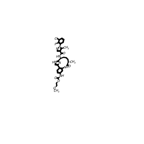 COCCOC(=O)Nc1ccc2c(c1)NC(=O)[C@@H](C)CCC[C@H](NC(=O)c1cnn(-c3cccc(Cl)c3F)c1C)c1nc-2c[nH]1